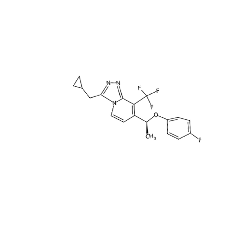 C[C@H](Oc1ccc(F)cc1)c1ccn2c(CC3CC3)nnc2c1C(F)(F)F